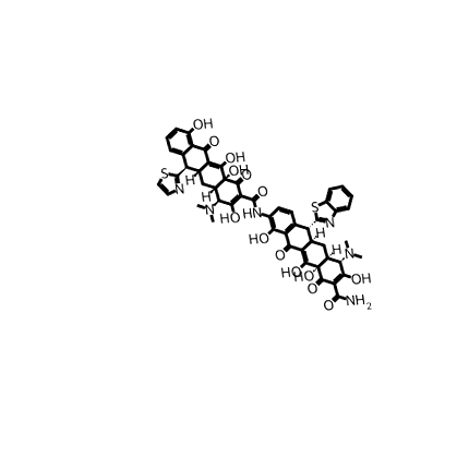 CN(C)[C@@H]1C(O)=C(C(=O)Nc2ccc3c(c2O)C(=O)C2=C(O)[C@]4(O)C(=O)C(C(N)=O)=C(O)[C@@H](N(C)C)[C@@H]4C[C@@H]2[C@H]3c2nc3ccccc3s2)C(=O)[C@@]2(O)C(O)=C3C(=O)c4c(O)cccc4[C@H](c4nccs4)[C@H]3C[C@@H]12